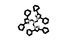 c1ccc(-c2cc(-c3ccccc3)n(CN(Cn3nc(-c4ccccc4)cc3-c3ccccc3)Cn3nc(-c4ccccc4)cc3-c3ccccc3)n2)cc1